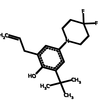 C=CCc1cc(N2CCC(F)(F)CC2)cc(C(C)(C)C)c1O